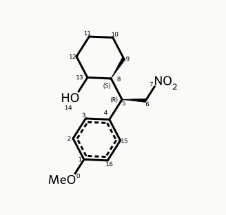 COc1ccc([C@H](C[N+](=O)[O-])[C@@H]2CCCCC2O)cc1